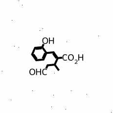 CC(CC=O)C(=Cc1ccccc1O)C(=O)O